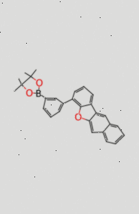 CC1(C)OB(c2cccc(-c3cccc4c3oc3cc5ccccc5cc34)c2)OC1(C)C